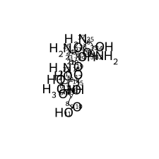 CC(O)C(NC(=O)CCC(=O)O)C(O)C(CO)OCOC1C(N)CC(N)C(OC2OC(CN)C(O)CC2N)C1O